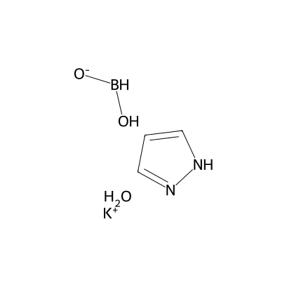 O.[K+].[O-]BO.c1cn[nH]c1